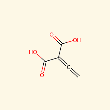 C=C=C(C(=O)O)C(=O)O